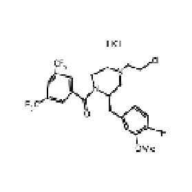 COc1cc(C[C@@H]2CN(CCCl)CCN2C(=O)c2cc(C(F)(F)F)cc(C(F)(F)F)c2)ccc1F.Cl